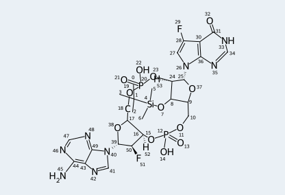 CC(C)(C)[Si](C)(C)OC1C2COP(=O)(O)O[C@@H]3C(COP(=O)(O)O[C@H]1[C@H](n1cc(F)c4c(=O)[nH]cnc41)O2)O[C@@H](n1cnc2c(N)ncnc21)[C@@H]3F